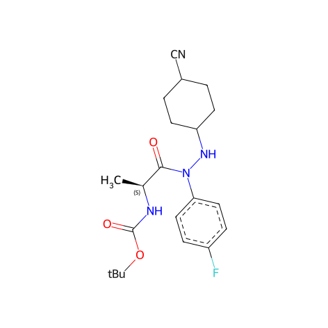 C[C@H](NC(=O)OC(C)(C)C)C(=O)N(NC1CCC(C#N)CC1)c1ccc(F)cc1